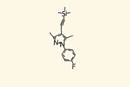 Cc1nn(-c2ccc(F)cc2)c(C)c1C#C[Si](C)(C)C